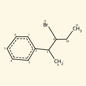 [CH2]C(c1ccccc1)C(Br)CC